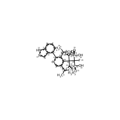 CC(C)c1cnc(-c2cccc3[nH]ncc23)c(C(C)C)c1C(C(C)C)(C(C)C)C(F)(P(=O)(O)O)P(=O)(O)O